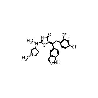 CN1CCC(N(C)C2=NC(=O)C(=C(Cc3ccc(Cl)cc3C(F)(F)F)c3ccc4[nH]ncc4c3)S2)C1